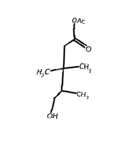 CC(=O)OC(=O)CC(C)(C)C(C)CO